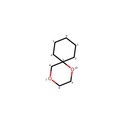 C1CCC2(CC1)COCCO2